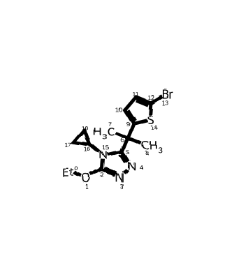 CCOc1nnc(C(C)(C)c2ccc(Br)s2)n1C1CC1